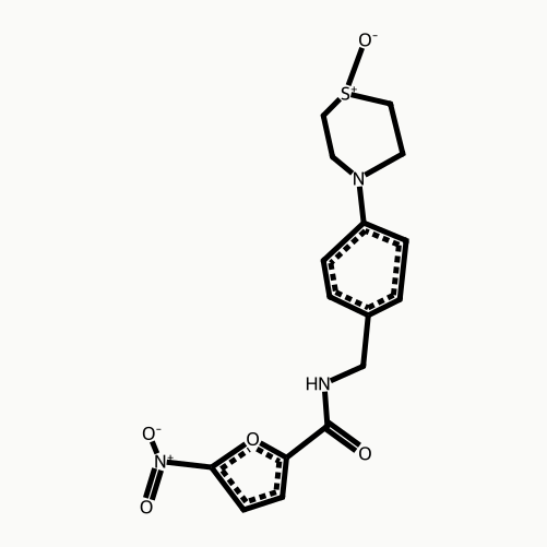 O=C(NCc1ccc(N2CC[S+]([O-])CC2)cc1)c1ccc([N+](=O)[O-])o1